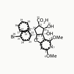 COc1cc2c(c(OC)n1)[C@]1(O)[C@H](O)[C@H](C(=O)O)[C@@H](c3ccccc3)[C@]1(c1ccc(Br)cc1)O2